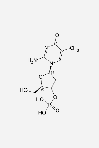 Cc1cn([C@H]2CC(OP(=O)(O)O)[C@@H](CO)O2)c(N)nc1=O